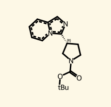 CC(C)(C)OC(=O)N1CC[C@@H](c2ncc3ccccn23)C1